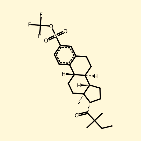 CCC(C)(C)C(=O)[C@H]1CC[C@H]2[C@@H]3CCc4cc(S(=O)(=O)OC(F)(F)F)ccc4[C@H]3CC[C@]12C